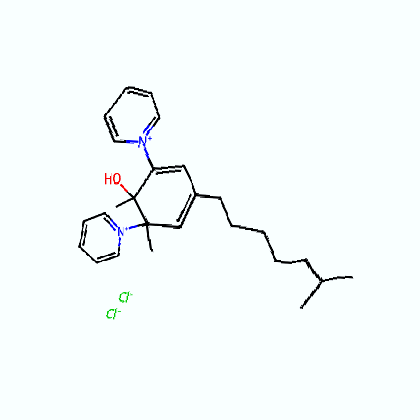 CC(C)CCCCCC1=CC(C)([n+]2ccccc2)C(C)(O)C([n+]2ccccc2)=C1.[Cl-].[Cl-]